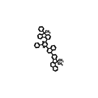 CC1(C)c2ccc(-c3ccc(-c4cc(-c5cccc6c5-c5ccccc5C6(C)c5ccccc5)nc(-c5ccccc5)n4)c4ccccc34)cc2-c2ccc3ccccc3c21